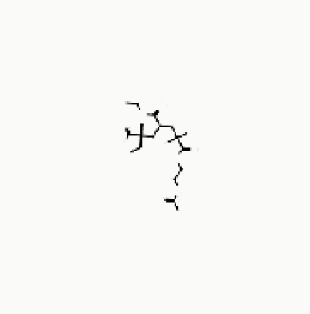 CCOC(=O)C(CC(C)(C)C(=O)OCCOC(C)=O)CC(C)(CC)C(=O)O